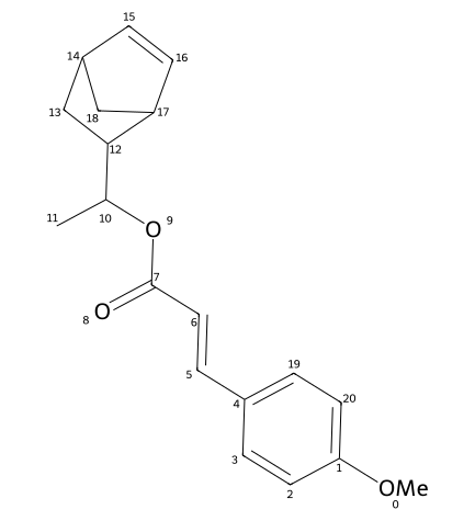 COc1ccc(C=CC(=O)OC(C)C2CC3C=CC2C3)cc1